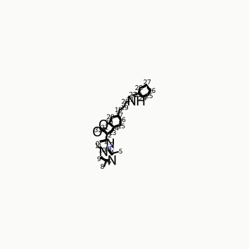 C=C(/N=c1/c(C)nc(C)cn1C)c1cc2ccc(CCCNCc3ccccc3)cc2oc1=O